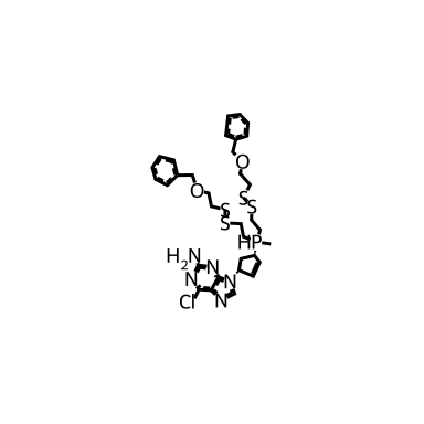 C[PH](CCSSCCOCc1ccccc1)(CCSSCCOCc1ccccc1)[C@@H]1C=C[C@H](n2cnc3c(Cl)nc(N)nc32)C1